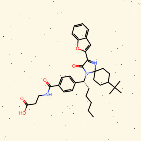 CCCCC[C@H](c1ccc(C(=O)NCCC(=O)O)cc1)N1C(=O)C(c2cc3ccccc3o2)=NC12CCC(C(C)(C)C)CC2